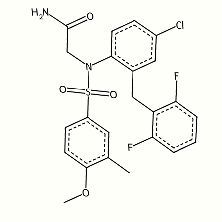 COc1ccc(S(=O)(=O)N(CC(N)=O)c2ccc(Cl)cc2Cc2c(F)cccc2F)cc1C